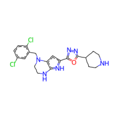 Clc1ccc(Cl)c(CN2CCNc3[nH]c(-c4nnc(C5CCNCC5)o4)cc32)c1